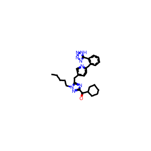 CCCCCn1nc(C(=O)C2CCCCC2)nc1Cc1ccc(-c2ccccc2-c2nnn[nH]2)nc1